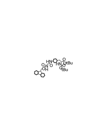 CC(C)(C)OC(=O)N[C@@H](Cc1ccc(NC(=O)CNC(=O)OCC2c3ccccc3-c3ccccc32)cc1)C(=O)OC(C)(C)C